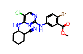 COC(=O)c1cc(Nc2ncc(Cl)c(NC3CCCCC3C#N)n2)ccc1Br